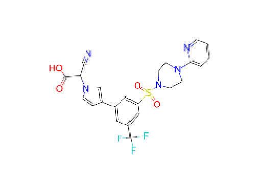 N#CC(C(=O)O)n1ccc(-c2cc(C(F)(F)F)cc(S(=O)(=O)N3CCN(c4ccccn4)CC3)c2)c1